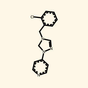 Clc1ccccc1CN1C=NN(c2ccncc2)C1